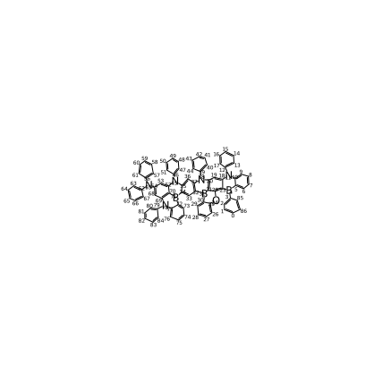 c1ccc(B2c3ccccc3N(c3ccccc3)c3cc4c5c(c32)Oc2ccccc2B5c2cc3c(cc2N4c2ccccc2)N(c2ccccc2)c2cc(N(c4ccccc4)c4ccccc4)cc4c2B3c2ccccc2N4c2ccccc2)cc1